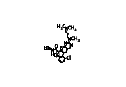 CN(C)CCCN(C)c1ncc2cc(-c3c(Cl)cccc3Cl)c(NC(=O)NC(C)(C)C)nc2n1